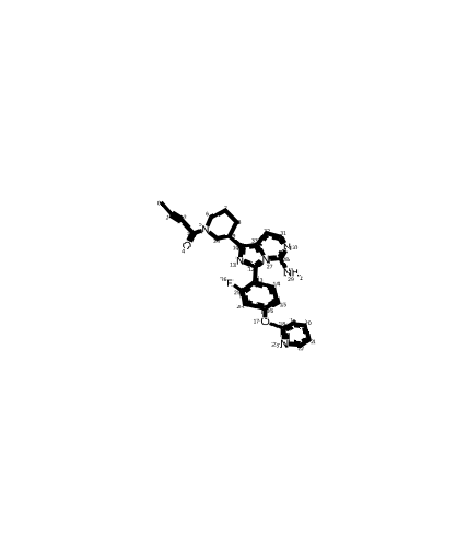 CC#CC(=O)N1CCCC(c2nc(-c3ccc(Oc4ccccn4)cc3F)n3c(N)nccc23)C1